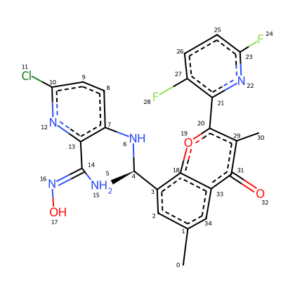 Cc1cc([C@@H](C)Nc2ccc(Cl)nc2/C(N)=N/O)c2oc(-c3nc(F)ccc3F)c(C)c(=O)c2c1